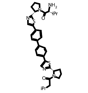 CC(C)CC(=O)N1CCC[C@H]1c1ncc(-c2ccc(-c3ccc(-c4cnc([C@@H]5CCCN5C(=O)[C@H](N)C(C)C)s4)cc3)cc2)s1